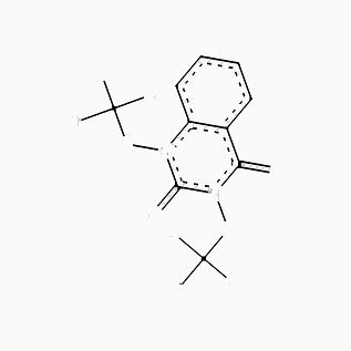 O=c1c2ccccc2n(SC(Cl)(Cl)Br)c(=O)n1SC(Cl)(Cl)Br